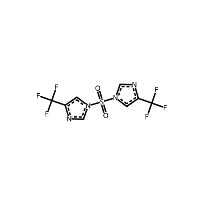 O=S(=O)(n1cnc(C(F)(F)F)c1)n1cnc(C(F)(F)F)c1